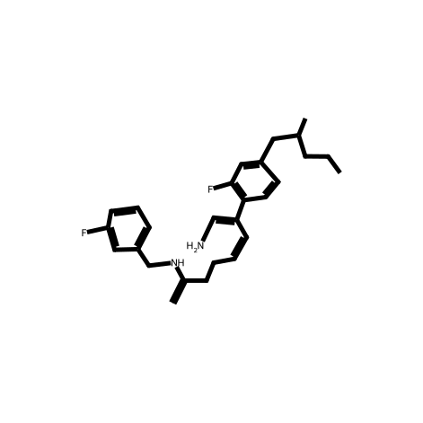 C=C(CC/C=C\C(=C/N)c1ccc(CC(C)CCC)cc1F)NCc1cccc(F)c1